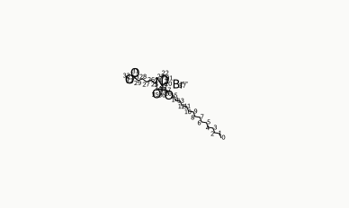 CCCCCCCCCCCCCCCCOCC1(c2cccc[n+]2CCCCCC(=O)OC)COC1.[Br-]